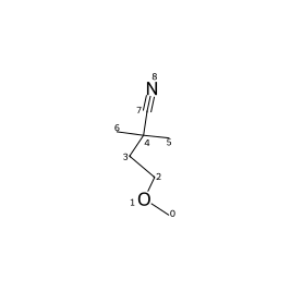 COCCC(C)(C)C#N